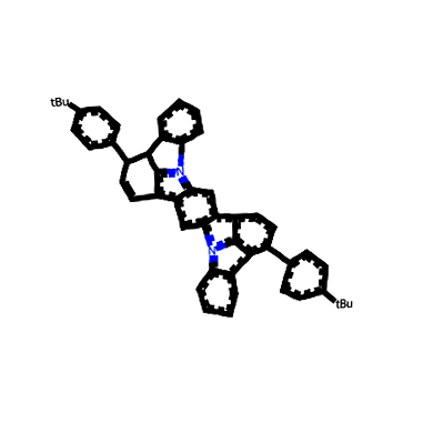 CC(C)(C)c1ccc(-c2ccc3c4cc5c(cc4n4c6ccccc6c2c34)c2c3n5-c4ccccc4C3C(c3ccc(C(C)(C)C)cc3)C=C2)cc1